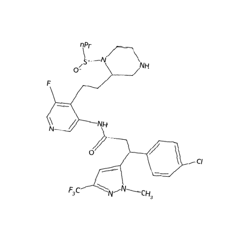 CCC[S+]([O-])N1CCNCC1CCc1c(F)cncc1NC(=O)CC(c1ccc(Cl)cc1)c1cc(C(F)(F)F)nn1C